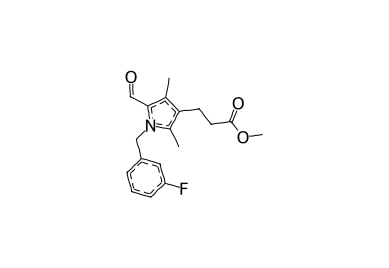 COC(=O)CCc1c(C)c(C=O)n(Cc2cccc(F)c2)c1C